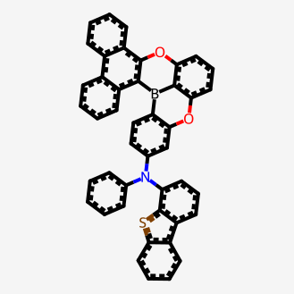 c1ccc(N(c2ccc3c(c2)Oc2cccc4c2B3c2c(c3ccccc3c3ccccc23)O4)c2cccc3c2sc2ccccc23)cc1